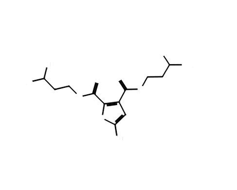 Cc1cc(C(=O)OCCC(C)C)c(C(=O)OCCC(C)C)s1